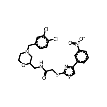 O=C(CSc1nc(-c2cccc([N+](=O)[O-])c2)cs1)NCC1CN(Cc2ccc(Cl)c(Cl)c2)CCO1